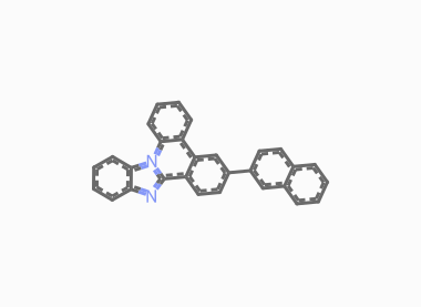 c1ccc2cc(-c3ccc4c(c3)c3ccccc3n3c5ccccc5nc43)ccc2c1